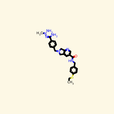 CCSc1ccc(CNC(=O)c2cnc3c(c2)CN(Cc2ccc(/C(N)=N/N(C)N)cc2)C3)cc1